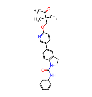 CC(=O)C(C)(C)COc1ccc(-c2ccc3c(c2)CCN3C(=O)Nc2ccccc2)cn1